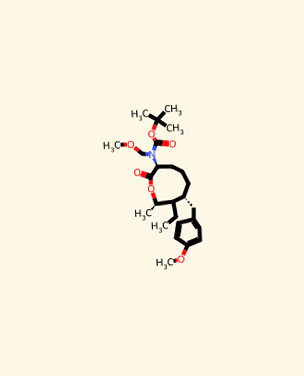 CCC1[C@@H](Cc2ccc(OC)cc2)CCC[C@H](N(COC)C(=O)OC(C)(C)C)C(=O)O[C@H]1C